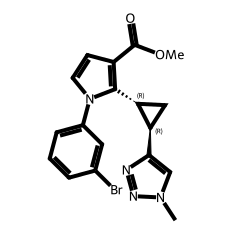 COC(=O)c1ccn(-c2cccc(Br)c2)c1[C@@H]1C[C@H]1c1cn(C)nn1